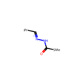 CSC(=O)N/N=C/C(C)C